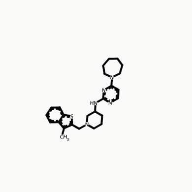 Cc1c(CN2CCCC(Nc3nccc(N4CCCCCC4)n3)C2)sc2ccccc12